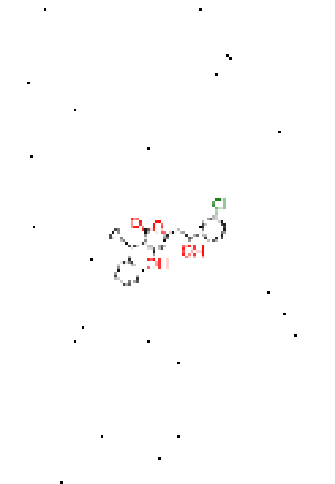 O=c1oc(CC(O)c2cccc(Cl)c2)cc(O)c1C(c1ccccc1)C1CC1